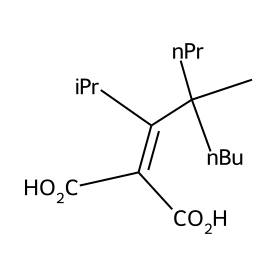 CCCCC(C)(CCC)C(=C(C(=O)O)C(=O)O)C(C)C